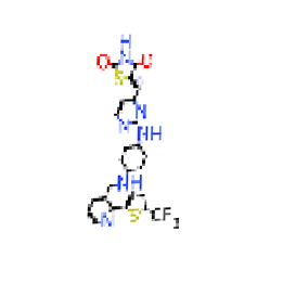 O=C1NC(=O)/C(=C/c2ccnc(N[C@H]3CC[C@H](NCc4cccnc4C4=CCC(C(F)(F)F)S4)CC3)n2)S1